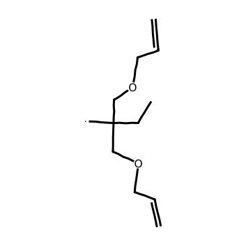 [CH2]C(CC)(COCC=C)COCC=C